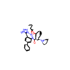 CCCCOc1ccc(N2CCCCC2)cc1C(=O)Nc1cc(-c2ccccc2)ccc1-c1nnn[nH]1